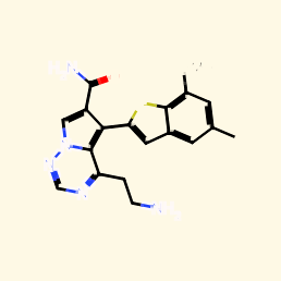 COc1cc(C)cc2cc(-c3c(C(N)=O)cn4ncnc(CCN)c34)sc12